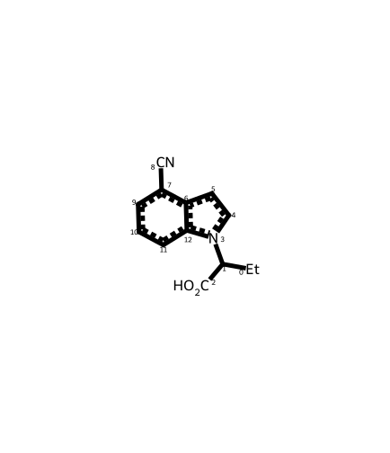 CCC(C(=O)O)n1ccc2c(C#N)cccc21